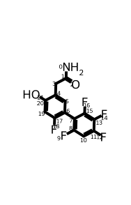 NC(=O)Cc1cc(-c2c(F)cc(F)c(F)c2F)c(F)cc1O